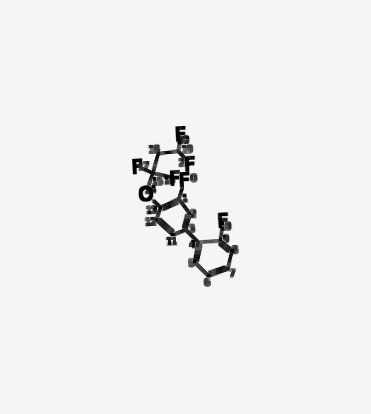 Fc1cc(-c2ccccc2F)ccc1OC(F)(F)CC(F)F